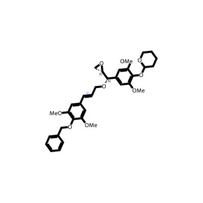 COc1cc(/C=C/CO[C@@H](c2cc(OC)c(OC3CCCCO3)c(OC)c2)[C@@H]2CO2)cc(OC)c1OCc1ccccc1